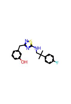 CC(C)(CNc1nc(Cc2cccc(O)c2)ns1)c1ccc(F)cc1